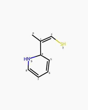 C/C(=C/S)C1C=CC=CN1